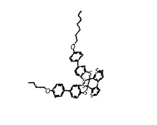 CCCCCCCOc1ccc(-c2ccc3c(c2)SC2(S3)c3sccc3-c3ccsc3C23Sc2ccc(-c4ccc(OCCCC)cc4)cc2S3)cc1